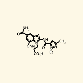 CCn1nc(C)cc1C(=O)Nc1nc2cc(C(N)=O)cc(OC)c2n1CCC(=O)O